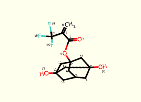 C=C(C(=O)OC12CC3CC(O)(CC(O)(C3)C1)C2)C(F)(F)F